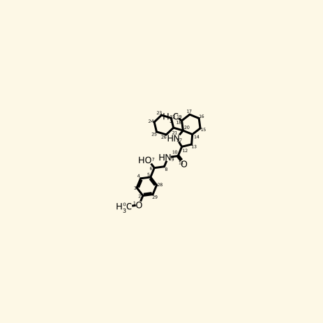 COc1ccc(C(O)CNC(=O)C2CC3CCCC(C)C3(C3CCCCC3)N2)cc1